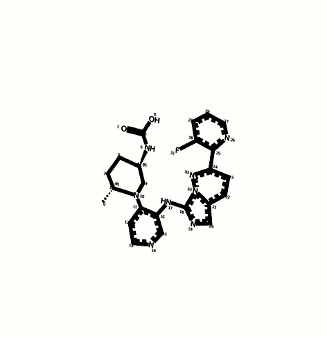 C[C@@H]1CC[C@@H](NC(=O)O)CN1c1ccncc1Nc1ncc2ccc(-c3ncccc3F)nn12